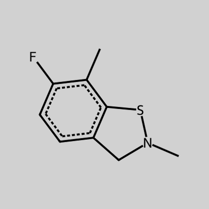 Cc1c(F)ccc2c1SN(C)C2